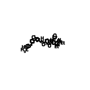 CCc1nc2c(cnn2CC)c(NC2CCOCC2)c1CNC(=O)c1cccc(C(=O)NCc2ccc(Cl)c(-c3cccc(CN4CCN[C@@H](C)C4)c3)c2)n1